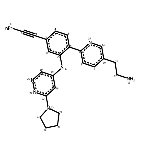 CCCC#Cc1ccc(-c2ccc(CCN)cn2)c(Sc2cnnc(N3CCCC3)c2)c1